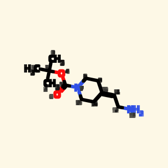 CC(C)(C)OC(=O)N1CCC(=CCN)CC1